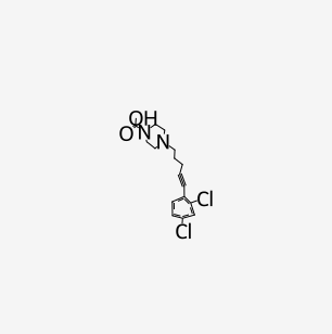 O=C(O)N1CCN(CCCC#Cc2ccc(Cl)cc2Cl)CC1